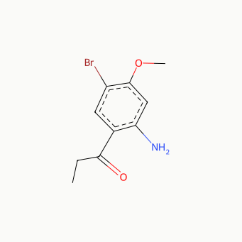 CCC(=O)c1cc(Br)c(OC)cc1N